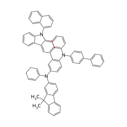 CC1(C)c2ccccc2-c2ccc(N(C3=CCCC=C3)c3ccc(N(c4ccccc4)c4ccc(-c5ccccc5)cc4)c(-c4ccc5c(c4)c4ccccc4n5-c4cccc5ccccc45)c3)cc21